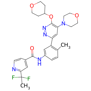 Cc1ccc(NC(=O)c2ccnc(C(C)(F)F)c2)cc1-c1cc(N2CCOCC2)c(OC2CCOCC2)nn1